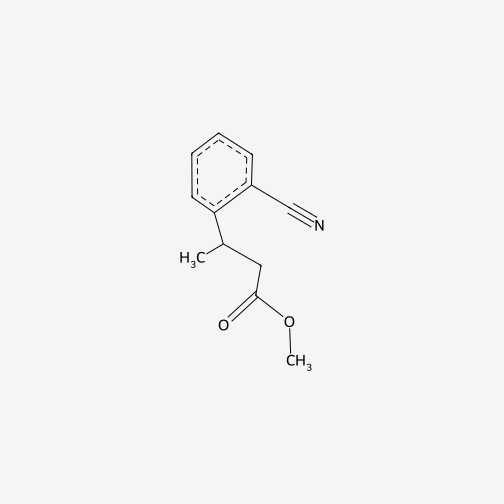 COC(=O)CC(C)c1ccccc1C#N